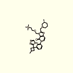 CC1CC(c2cccc(-n3ccc4nc(CN5CCC[C@H](C)C5)n(COCC[Si](C)(C)C)c4c3=O)c2)(c2nncn2C)C1